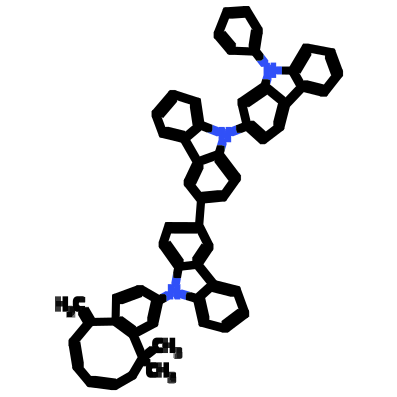 C=C1/C=C\C=C/CC(C)(C)c2cc(-n3c4ccccc4c4cc(-c5ccc6c(c5)c5ccccc5n6-c5ccc6c7ccccc7n(-c7ccccc7)c6c5)ccc43)ccc21